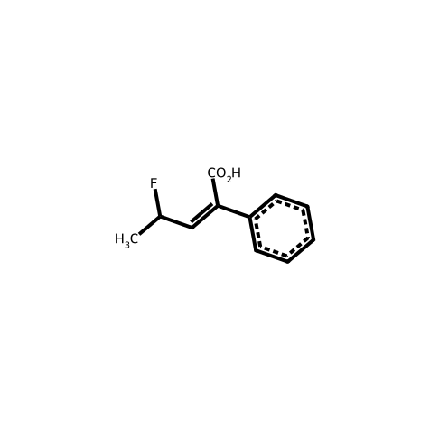 CC(F)C=C(C(=O)O)c1ccccc1